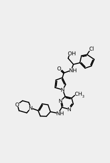 Cc1cnc(NC2CC=C(N3CCOCC3)CC2)nc1-n1ccc(C(=O)NC(CO)c2cccc(Cl)c2)c1